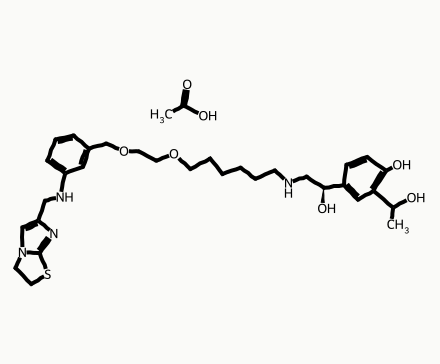 CC(=O)O.CC(O)c1cc([C@@H](O)CNCCCCCCOCCOCc2cccc(NCc3cn4c(n3)SCC4)c2)ccc1O